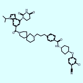 CC(C)n1ccc2c(N3CCC(=O)NC3=O)cc(C(=O)N3CCC4(CCCN(CCCc5ccc(C(=O)N[C@H]6CC[C@H](Oc7ccc(C#N)c(Cl)c7)CC6)cc5)C4)CC3)cc21